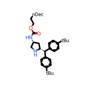 CCCCCCCCCCCCOC(=O)N[C@H]1CN[C@@H](C(c2ccc(C(C)(C)C)cc2)c2ccc(C(C)(C)C)cc2)C1